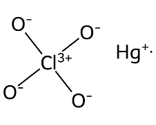 [Hg+].[O-][Cl+3]([O-])([O-])[O-]